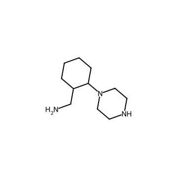 NCC1CCCCC1N1CCNCC1